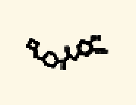 COc1cc(CC(=O)NC2CCC(C=C3CCC3)CC2)ccc1O